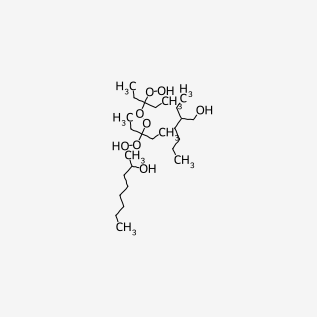 CCC(CC)(OO)OOC(CC)(CC)OO.CCCCC(CC)CO.CCCCCCC(C)O